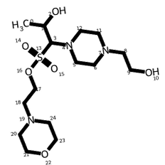 CC(O)C(N1CCN(CCO)CC1)S(=O)(=O)OCCN1CCOCC1